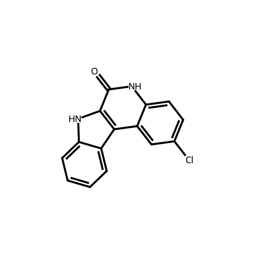 O=c1[nH]c2ccc(Cl)cc2c2c1[nH]c1ccccc12